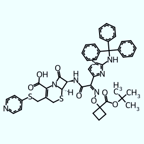 CC(C)(C)OC(=O)C1(O/N=C(\C(=O)N[C@@H]2C(=O)N3C(C(=O)O)=C(CSc4ccncc4)CS[C@H]23)c2csc(NC(c3ccccc3)(c3ccccc3)c3ccccc3)n2)CCC1